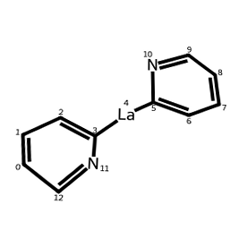 c1cc[c]([La][c]2ccccn2)nc1